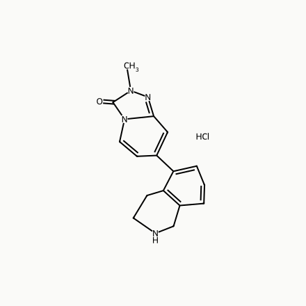 Cl.Cn1nc2cc(-c3cccc4c3CCNC4)ccn2c1=O